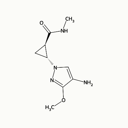 CNC(=O)[C@@H]1C[C@H]1n1cc(N)c(OC)n1